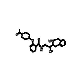 CC(=O)N1CCC(Oc2ccccc2C(=O)NCC(O)C2Cc3ccccc3CN2)CC1